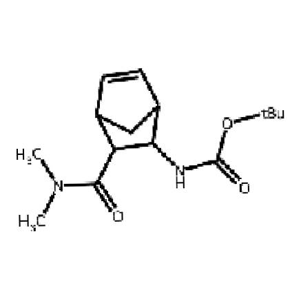 CN(C)C(=O)C1C2C=CC(C2)C1NC(=O)OC(C)(C)C